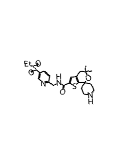 CCS(=O)(=O)c1ccc(CNC(=O)c2cc3c(s2)C2(CCNCC2)OC(C)(C)C3)nc1